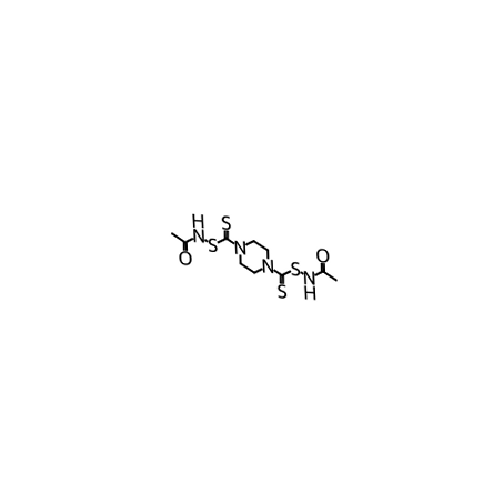 CC(=O)NSC(=S)N1CCN(C(=S)SNC(C)=O)CC1